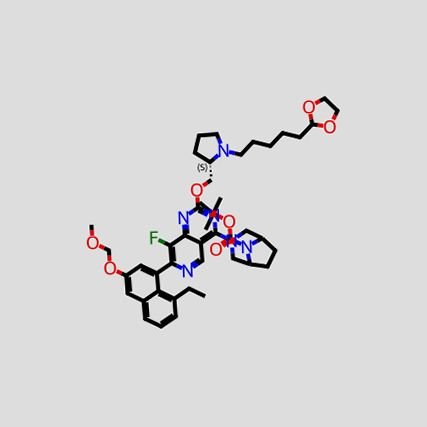 CCc1cccc2cc(OCOC)cc(-c3ncc4c(N5CC6CCC(C5)N6C(=O)OC(C)(C)C)nc(OC[C@@H]5CCCN5CCCCCC5OCCO5)nc4c3F)c12